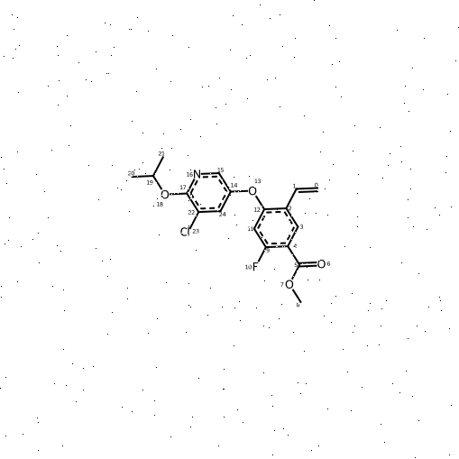 C=Cc1cc(C(=O)OC)c(F)cc1Oc1cnc(OC(C)C)c(Cl)c1